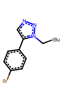 CC(C)(C)Cn1nncc1-c1ccc(Br)cc1